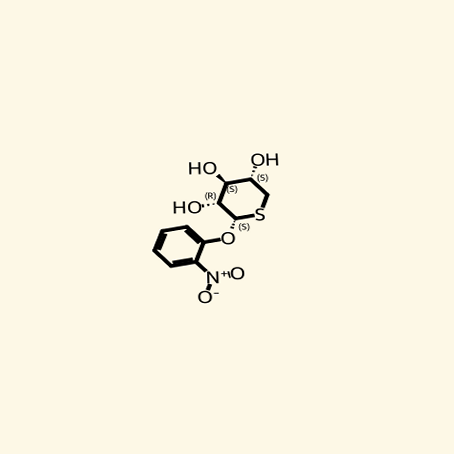 O=[N+]([O-])c1ccccc1O[C@H]1SC[C@@H](O)[C@H](O)[C@H]1O